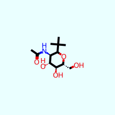 CC(=O)N[C@H]1C(C(C)(C)C)O[C@H](CO)[C@@H](O)[C@@H]1O